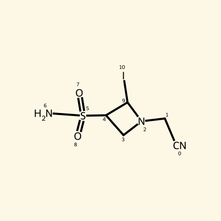 N#CCN1CC(S(N)(=O)=O)C1I